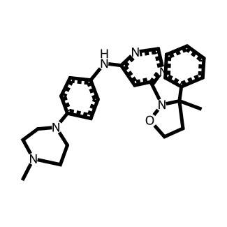 CN1CCN(c2ccc(Nc3cc(N4OCCC4(C)c4ccccc4)ncn3)cc2)CC1